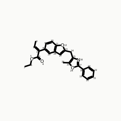 C/C=C(/C(=O)OCC)c1ccc2oc(Cc3nc(-c4ccccc4)oc3C)cc2c1